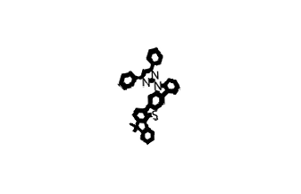 CC1(C)c2ccccc2-c2c1ccc1c2sc2cc3c4ccccc4n(-c4nc(-c5ccccc5)cc(-c5ccccc5)n4)c3cc21